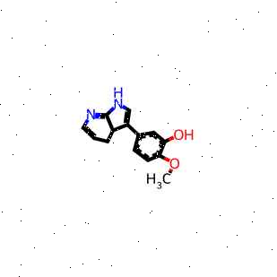 COc1ccc(C2=CNC3=NC=CCC23)cc1O